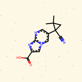 CC1(C)CC1(C#N)c1cnc2nc(C(=O)O)cn2c1